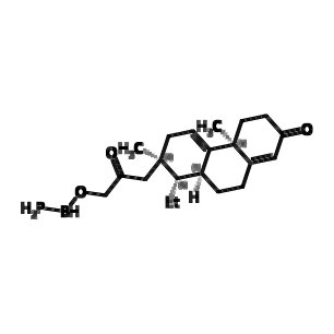 CC[C@H]1[C@@H]2CCC3=CC(=O)CC[C@]3(C)C2=CC[C@]1(C)CC(=O)COBP